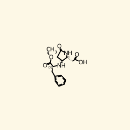 CCOC(=O)[C@H](Cc1ccccc1)N[C@H]1CC(=O)N[C@@H]1CC(=O)O